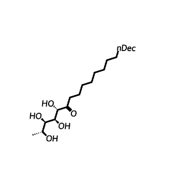 CCCCCCCCCCCCCCCCCCC(=O)[C@@H](O)[C@@H](O)[C@H](O)[C@@H](C)O